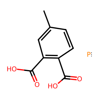 Cc1ccc(C(=O)O)c(C(=O)O)c1.[P]